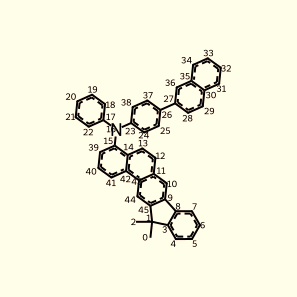 CC1(C)c2ccccc2-c2cc3ccc4c(N(c5ccccc5)c5ccc(-c6ccc7ccccc7c6)cc5)cccc4c3cc21